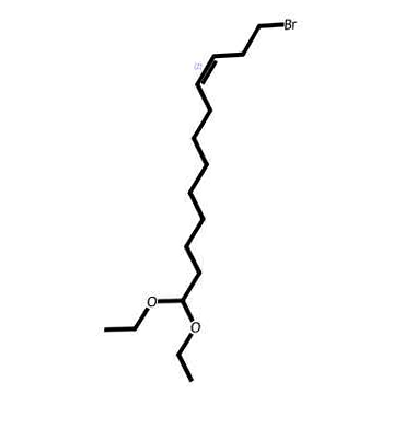 CCOC(CCCCCCC/C=C\CCBr)OCC